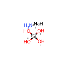 N.O[Si](O)(O)O.[NaH]